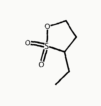 CCC1CCOS1(=O)=O